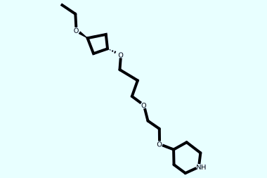 CCO[C@H]1C[C@H](OCCCOCCOC2CCNCC2)C1